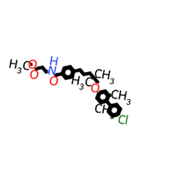 COC(=O)CCNC(=O)c1ccc(CCCC(C)(C)COc2cc(C)c(-c3ccc(Cl)cc3)c(C)c2)cc1